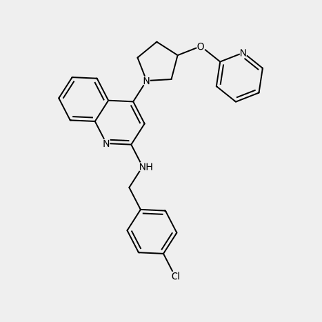 Clc1ccc(CNc2cc(N3CCC(Oc4ccccn4)C3)c3ccccc3n2)cc1